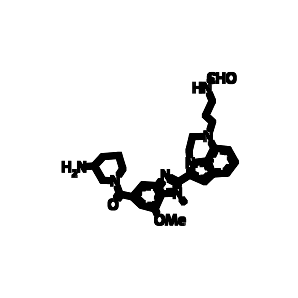 COc1cc(C(=O)N2CCCC(N)C2)cc2nc(-c3cc4cccc5c4n3CCN5CCCNC=O)n(C)c12